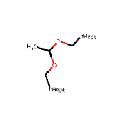 CCCCCCCCOC(C)OCCCCCCCC